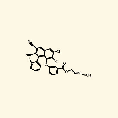 CCOCCOC(=O)c1cccc(Oc2c(Cl)c(Cl)cc3cc(C#N)c(C#N)c(-c4ccccc4F)c23)c1